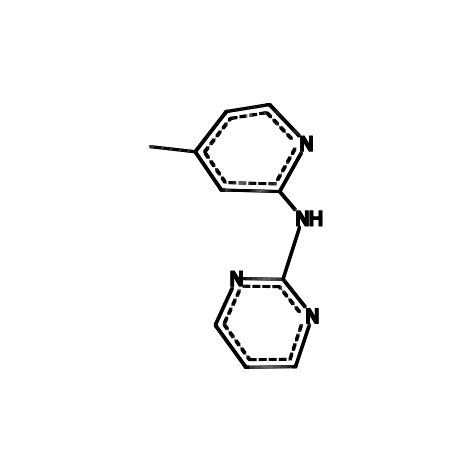 Cc1ccnc(Nc2ncccn2)c1